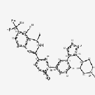 C[C@@H](NC(=O)c1ccc(=O)n(-c2cncc(-c3cnnn3C3CCN(C)CC3)c2)n1)c1cccc(C(F)(F)F)c1F